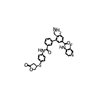 NCc1ccc(C(=O)Nc2ccncc2F)cc1-c1cccc(C(=O)Nc2ccc(SC3COC(=O)C3)cc2)c1